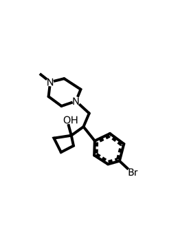 CN1CCN(CC(c2ccc(Br)cc2)C2(O)CCC2)CC1